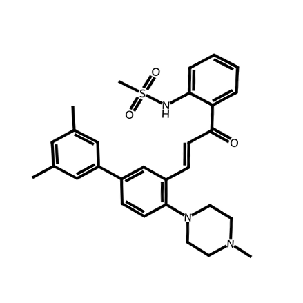 Cc1cc(C)cc(-c2ccc(N3CCN(C)CC3)c(/C=C/C(=O)c3ccccc3NS(C)(=O)=O)c2)c1